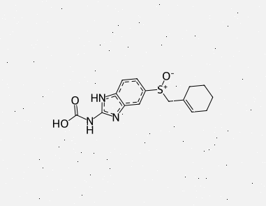 O=C(O)Nc1nc2cc([S+]([O-])CC3=CCCCC3)ccc2[nH]1